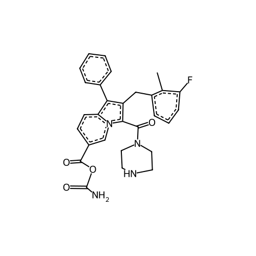 Cc1c(F)cccc1Cc1c(-c2ccccc2)c2ccc(C(=O)OC(N)=O)cn2c1C(=O)N1CCNCC1